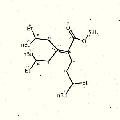 CCCCC(CC)CCC(C(=O)O[SiH3])=C(CC(CC)CCCC)CC(CC)CCCC